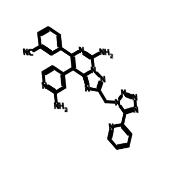 N#Cc1cccc(-c2nc(N)n3nc(Cn4nnnc4-c4ccccn4)nc3c2-c2ccnc(N)c2)c1